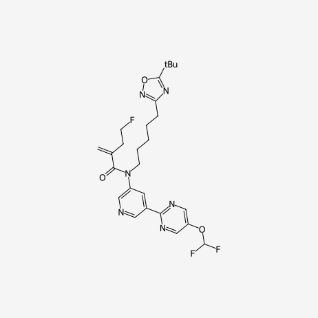 C=C(CCF)C(=O)N(CCCCCc1noc(C(C)(C)C)n1)c1cncc(-c2ncc(OC(F)F)cn2)c1